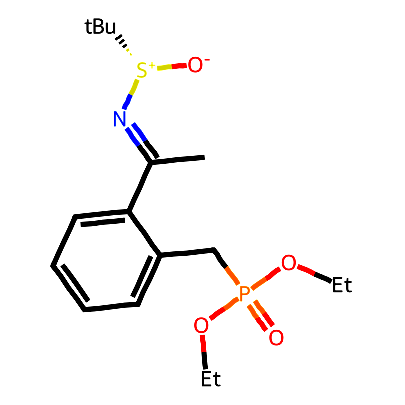 CCOP(=O)(Cc1ccccc1C(C)=N[S@@+]([O-])C(C)(C)C)OCC